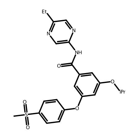 CCc1cnc(NC(=O)c2cc(Oc3ccc(S(C)(=O)=O)cc3)cc(OC(C)C)c2)cn1